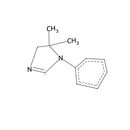 CC1(C)CN=[C]N1c1ccccc1